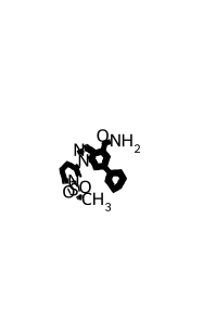 CCS(=O)(=O)N1CCCC(n2ncc3c(C(N)=O)cc(-c4ccccc4)cc32)C1